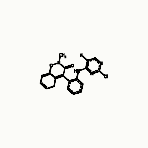 CN1OC2=CC=CCC2=C(c2ccccc2Nc2nc(Cl)ncc2F)C1=O